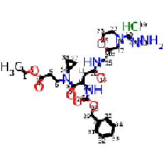 CCOC(=O)CCN(C(=O)C(CC(=O)NC[C@H]1CN(C=NN)CCO1)NC(=O)OCc1ccccc1)C1CC1.Cl